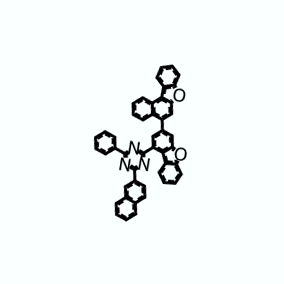 c1ccc(-c2nc(-c3ccc4ccccc4c3)nc(-c3cc(-c4cc5oc6ccccc6c5c5ccccc45)cc4oc5ccccc5c34)n2)cc1